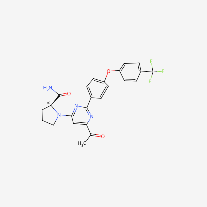 CC(=O)c1cc(N2CCC[C@H]2C(N)=O)nc(-c2ccc(Oc3ccc(C(F)(F)F)cc3)cc2)n1